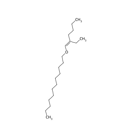 CCCCCCCCCCCCO/C=C(\CC)CCCC